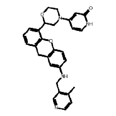 Cc1ccncc1CNc1ccc2c(c1)Cc1cccc(C3CN(c4cc[nH]c(=O)c4)CCO3)c1O2